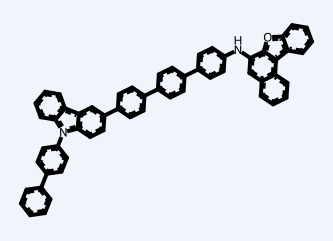 c1ccc(-c2ccc(-n3c4ccccc4c4cc(-c5ccc(-c6ccc(-c7ccc(Nc8cc9ccccc9c9c8oc8ccccc89)cc7)cc6)cc5)ccc43)cc2)cc1